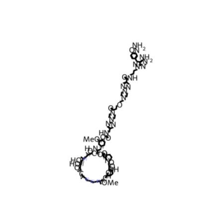 CO[C@H]1C[C@@H]2CC[C@@H](C)[C@@](O)(O2)C(=O)C(=O)N2CCCC[C@H]2C(=O)O[C@H]([C@H](N)C[C@@H]2CC[C@@H](OC(=O)NCc3cnc(N4CCN(C(=O)CCOCCN5CCN(c6ncc(C(=O)NCCCCn7nc(-c8ccc9oc(N)nc9c8)c8c(N)ncnc87)cn6)CC5)CC4)nc3)[C@H](OC)C2)CC(=O)[C@H](C)/C=C(\C)[C@@H](O)[C@@H](O)C(=O)[C@H](C)C[C@H](C)/C=C/C=C/C=C/1C